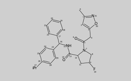 Cc1cc(CC(=O)N2CC(F)CC2C(=O)NC(c2ccccc2)c2ccc(C(C)C)cc2)on1